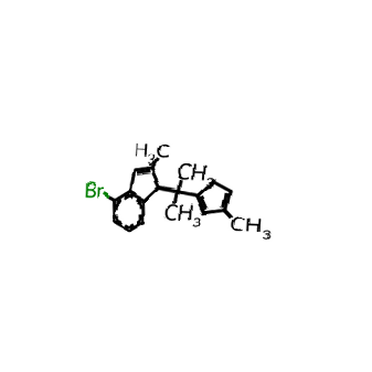 CC1=CCC(C(C)(C)C2C(C)=Cc3c(Br)cccc32)=C1